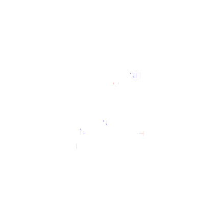 Cc1nc(F)cc2c3ccc(O)cc3n(CCCCC3CNCCO3)c12